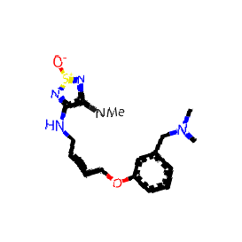 CNc1n[s+]([O-])nc1NC/C=C\COc1cccc(CN(C)C)c1